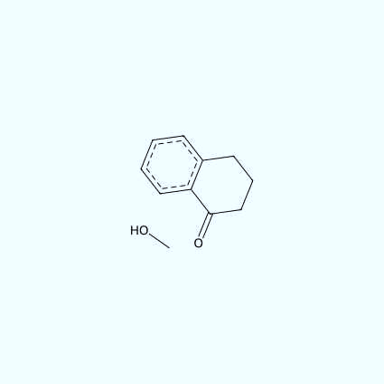 CO.O=C1CCCc2ccccc21